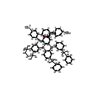 CC(C)(C)c1ccc(-c2ccc(-c3cc(C(C)(C)C)ccc3N3c4cc5c(cc4B4c6ccc(C(C)(C)c7ccccc7)cc6N(c6cccc(C(C)(C)c7ccccc7)c6)c6cc(C(C)(C)C)cc3c64)C(C)(C)CCC5(C)C)cc2)cc1